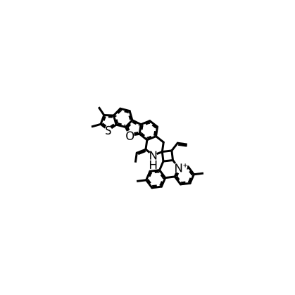 C=CC1C2C(c3cc(C)ccc3-c3ccc(C)c[n+]32)C12Cc1ccc3c(oc4c3ccc3c(C)c(C)sc34)c1/C(=C/C)N2